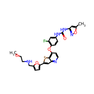 COCCNCc1ccc(-c2cc3nccc(Oc4ccc(NC(=O)Nc5cc(C)on5)cc4F)c3s2)o1